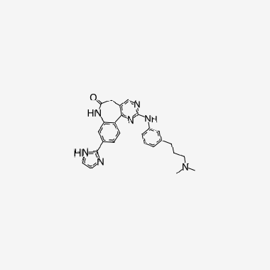 CN(C)CCCc1cccc(Nc2ncc3c(n2)-c2ccc(-c4ncc[nH]4)cc2NC(=O)C3)c1